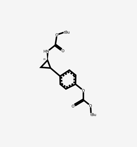 CC(C)(C)OC(=O)N[C@@H]1CC1c1ccc(OC(=O)OC(C)(C)C)cc1